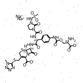 Cn1nnnc1SCC1=C(C(=O)[O-])N2C(=O)[C@@H](NC(=O)[C@H](NC(=O)N3CCN(NS(C)(=O)=O)C3=O)c3ccc(NC(=O)OC[C@@H](N)C(=O)[O-])cc3)[C@@H]2SC1.[Na+].[Na+]